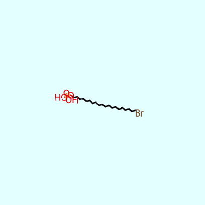 O=P(O)(O)OCCCCCCCCCCCCCCCCCCCCBr